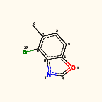 Cc1ccc2ocnc2c1Br